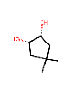 CC1(C)C[C@@H](O)[C@@H](O)C1